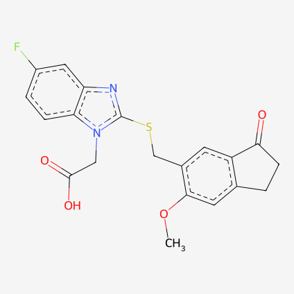 COc1cc2c(cc1CSc1nc3cc(F)ccc3n1CC(=O)O)C(=O)CC2